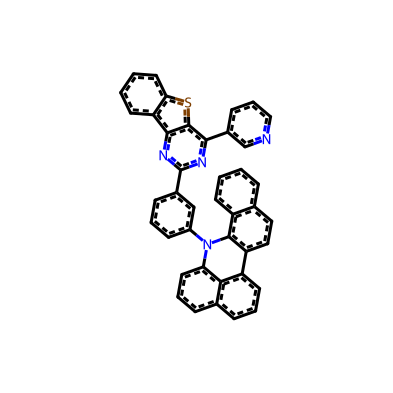 c1cncc(-c2nc(-c3cccc(N4c5c(ccc6ccccc56)-c5cccc6cccc4c56)c3)nc3c2sc2ccccc23)c1